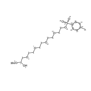 COC(O)COCCOCCOCCOCCOS(=O)(=O)c1ccc(C)cc1